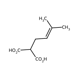 CC(C)=CCC(C(=O)O)C(=O)O